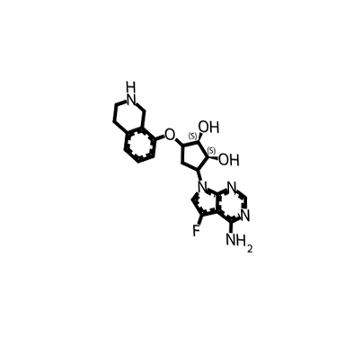 Nc1ncnc2c1c(F)cn2C1CC(Oc2cccc3c2CNCC3)[C@@H](O)[C@H]1O